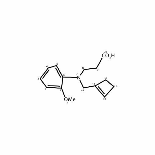 COc1ccccc1N(CCC(=O)O)CC1=CCC1